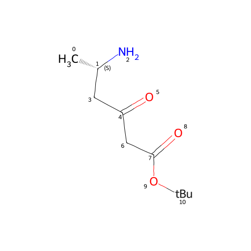 C[C@H](N)CC(=O)CC(=O)OC(C)(C)C